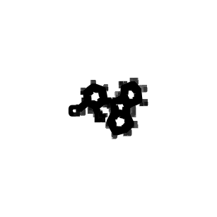 Clc1cccc(-n2c3ccccc3c3ccccc32)c1Br